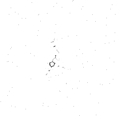 CCC(C)COC(=O)Oc1ccc(C[C@H](N)C(=O)O[C@@H](C)COC(=O)OC(C)C(C)C)cc1OC(=O)OCC(C)CC